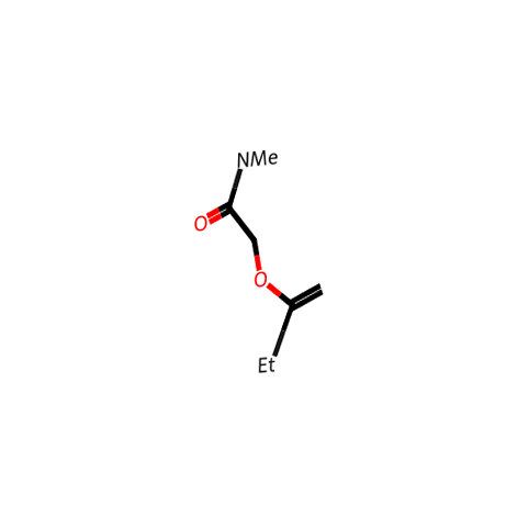 C=C(CC)OCC(=O)NC